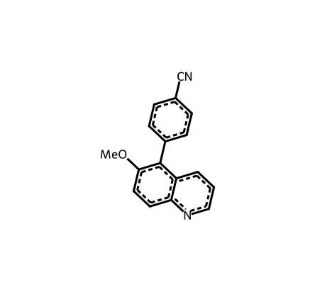 COc1ccc2ncccc2c1-c1ccc(C#N)cc1